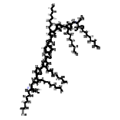 [C-]#[N+]/C(=C\c1cc(CCCCCCCC)c(-c2ccc(-c3sc(-c4nc5cc6sc(-c7cc(CCCCCCCC)c(-c8ccc(-c9sc(/C=C(/C#N)C(=O)OCCCCCCCC)cc9CCCCCCCC)s8)s7)nc6cc5s4)cc3CCCCCCCC)s2)s1)CCCCCCCC